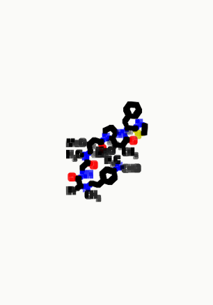 CC[C@H](C)C([C@@H](CC(=O)N1CCC[C@H]1[C@H](OC)[C@@H](C)C(=O)N[C@@H](Cc1ccccc1)c1nccs1)OC)N(C)C(=O)CNC(=O)C(C(C)C)N(C)CCc1ccc(N(C)C=O)cc1